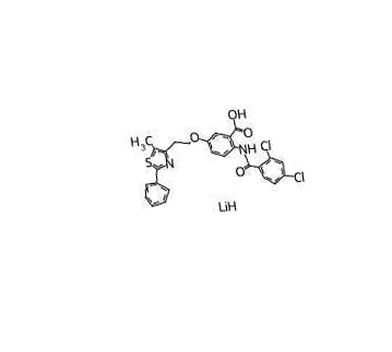 Cc1sc(-c2ccccc2)nc1CCOc1ccc(NC(=O)c2ccc(Cl)cc2Cl)c(C(=O)O)c1.[LiH]